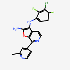 Cc1cc(-c2nccc3c(NC4=CCC(F)C(Cl)=C4F)c(N)oc23)ccn1